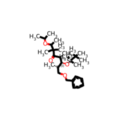 CC(C)OC(C)C(C)(C)C(=O)[C@H](C)[C@@H](O[Si](C)(C)C(C)(C)C)[C@@H](C)COCc1ccccc1